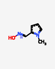 Cn1cccc1/C=N/O